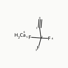 C#CC(F)(F)F.[CaH2]